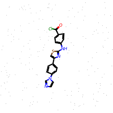 O=C(Cl)c1ccc(Nc2nc(-c3ccc(-n4ccnc4)cc3)cs2)cc1